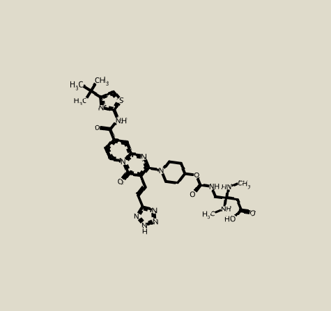 CNC(CNC(=O)OC1CCN(c2nc3cc(C(=O)Nc4nc(C(C)(C)C)cs4)ccn3c(=O)c2C=Cc2nn[nH]n2)CC1)(CC(=O)O)NC